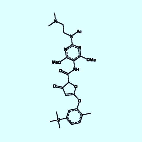 COc1nc(N(CCN(C)C)C(C)=O)nc(OC)c1NC(=O)C1OC(Oc2cc([Si](C)(C)C)ccc2C)=CC1=O